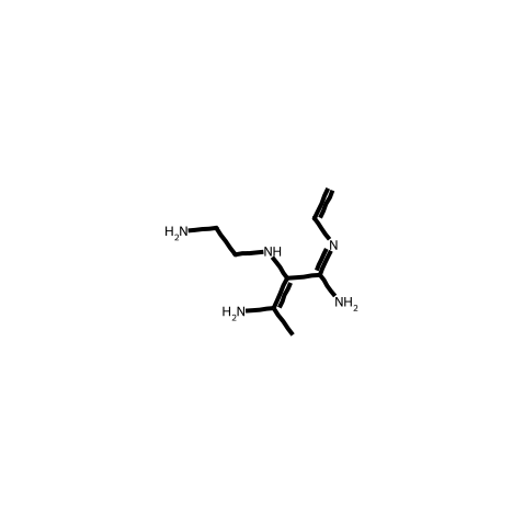 C=C/N=C(N)\C(NCCN)=C(/C)N